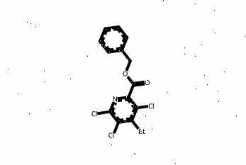 CCc1c(Cl)c(Cl)nc(C(=O)OCc2ccccc2)c1Cl